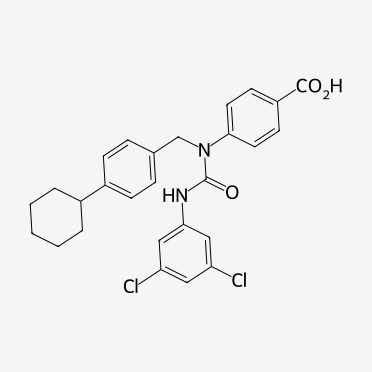 O=C(O)c1ccc(N(Cc2ccc(C3CCCCC3)cc2)C(=O)Nc2cc(Cl)cc(Cl)c2)cc1